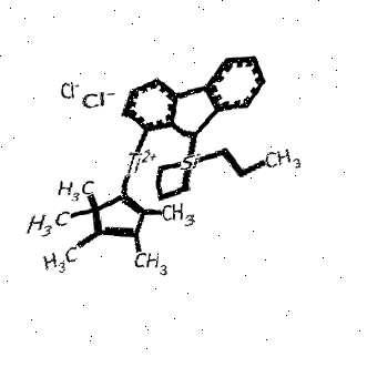 CCC[Si]1(C2c3ccccc3-c3ccc[c]([Ti+2][C]4=C(C)C(C)=C(C)C4(C)C)c32)CCC1.[Cl-].[Cl-]